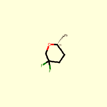 CC(C)[C@@H]1CCC(F)(F)CO1